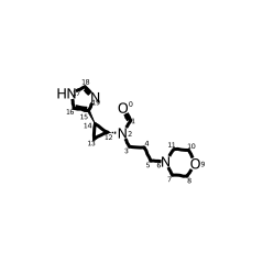 O=CN(CCCN1CCOCC1)[C@@H]1C[C@H]1c1c[nH]cn1